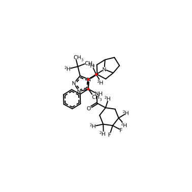 [2H]C1(C(=O)NC(CC([2H])([2H])N2C3CCC2CC(n2c(C)nnc2C([2H])(C)C)C3)c2ccccc2)CC([2H])([2H])C(F)(F)C([2H])([2H])C1